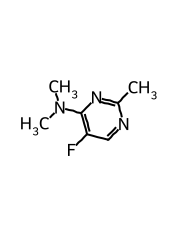 Cc1ncc(F)c(N(C)C)n1